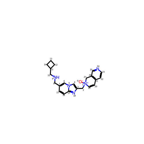 [O-][N+]1(Cc2cn3cc(CNCC4CCC4)ccc3n2)C=Cc2ccncc2C1